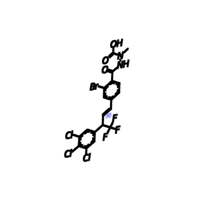 CN(NC(=O)c1ccc(/C=C/C(c2cc(Cl)c(Cl)c(Cl)c2)C(F)(F)F)cc1Br)C(=O)O